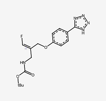 CC(C)(C)OC(=O)NC/C(=C/F)COc1ccc(-c2nnn[nH]2)cc1